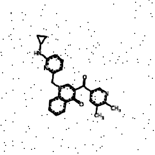 Cc1cc(C(=O)c2cn(Cc3cccc(NC4CC4)n3)c3ccccc3c2=O)cnc1C